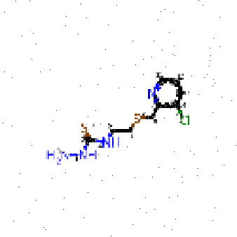 NNC(=S)NCCSCc1ncccc1Cl